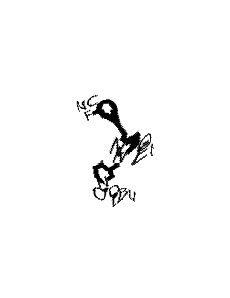 CCOc1cc(-c2ccc(C#N)c(F)c2)nn1CC1CCCN(C(=O)OC(C)(C)C)C1